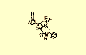 O=C1N[C@@H](C23CCC(CC2)OC3)CN2CC(F)(F)Cc3c(-c4cn[nH]c4)sc1c32